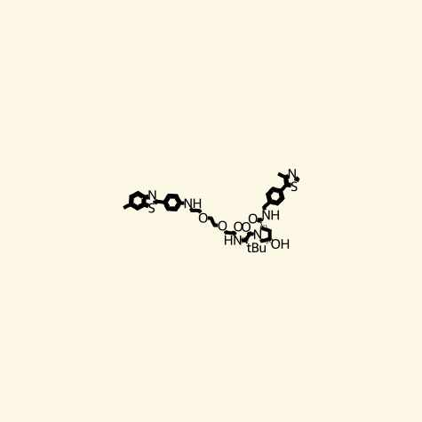 Cc1ccc2nc(-c3ccc(NCCOCCOCC(=O)N[C@H](C(=O)N4C[C@H](O)C[C@H]4C(=O)NCc4ccc(-c5scnc5C)cc4)C(C)(C)C)cc3)sc2c1